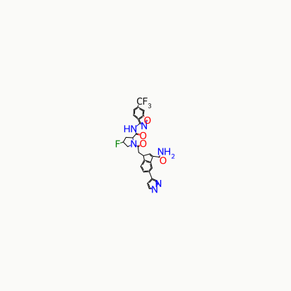 NC(=O)C1=CC(CC(=O)N2CC(F)CC2C(=O)Nc2noc3cc(C(F)(F)F)ccc23)c2ccc(-c3ccnnc3)cc21